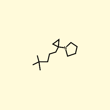 CC(C)(C)CCCC1(N2CCCC2)CC1